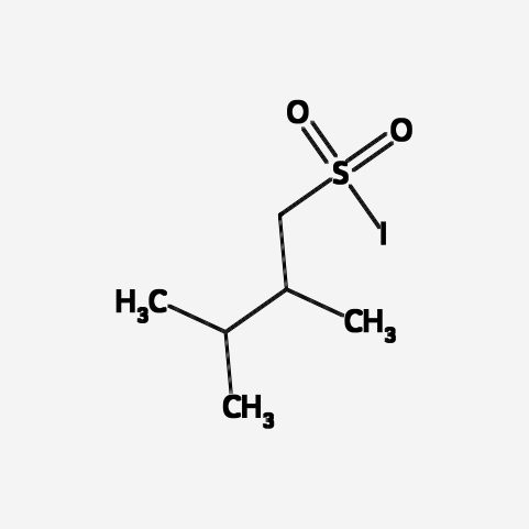 CC(C)C(C)CS(=O)(=O)I